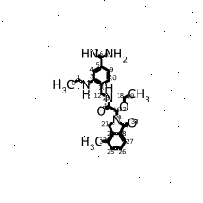 CCNc1cc(C(=N)N)ccc1CNC(=O)[C@H](OCC)N1Cc2c(C)cccc2C1=O